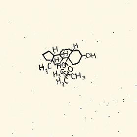 C[C@@]12CCC[C@H]1[C@@H]1CC[C@H]3C[C@@H](O)CC[C@]3(C(O)O[Si](C)(C)C)[C@H]1CC2